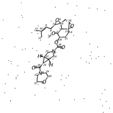 CO[C@H]1C([C@@]2(C)O[C@@H]2CC=C(C)C)[C@]2(CC[C@H]1OC(=O)N1C[C@@H]3[C@H](C1)[C@H]3C(=O)N1CCOCC1)CO2